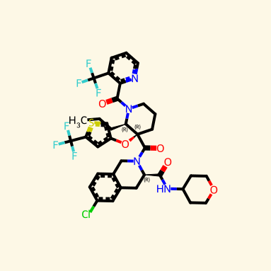 CCC[C@H]1N(C(=O)c2ncccc2C(F)(F)F)CCC[C@]1(Oc1csc(C(F)(F)F)c1)C(=O)N1Cc2ccc(Cl)cc2C[C@@H]1C(=O)NC1CCOCC1